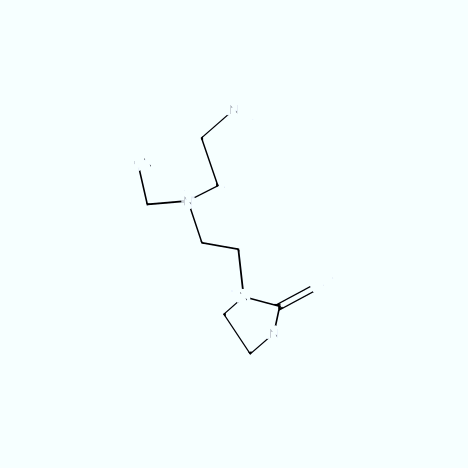 N#CCN(CCN)CCN1CCNC1=O